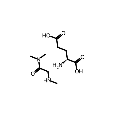 CNCC(=O)N(C)C.N[C@@H](CCC(=O)O)C(=O)O